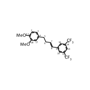 COc1ccc(CCC=Cc2cc(C(F)(F)F)cc(C(F)(F)F)c2)cc1OC